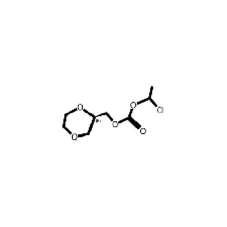 CC(Cl)OC(=O)OC[C@H]1COCCO1